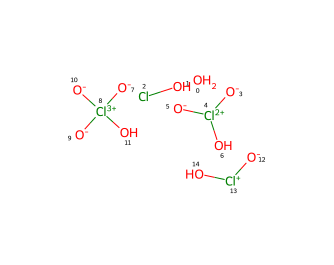 O.OCl.[O-][Cl+2]([O-])O.[O-][Cl+3]([O-])([O-])O.[O-][Cl+]O